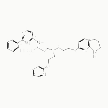 O=C(O)[C@H](CCN(CCCCc1ccc2c(n1)NCCC2)CCOc1ccccn1)Nc1ccnc(-c2ccccc2)n1